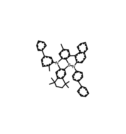 Cc1cc2c3c(c1)N(c1cc(-c4ccccc4)ccc1C)c1cc4c(cc1B3N(c1ccc(-c3ccccc3)cc1)c1ccc3ccccc3c1-2)C(C)(C)CCC4(C)C